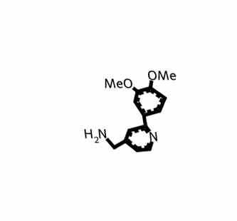 COc1ccc(-c2cc(CN)ccn2)cc1OC